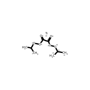 CC(C)OOC(=O)C(=O)OOC(C)C.[Ti]